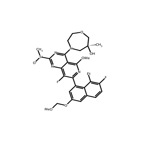 CCc1c(F)ccc2cc(OCOC)cc(-c3nc(OC)c4c(N5CCOC[C@@](C)(O)C5)nc([S+](C)[O-])nc4c3F)c12